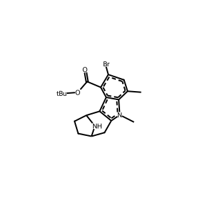 Cc1cc(Br)c(C(=O)OC(C)(C)C)c2c3c(n(C)c12)CC1CCC3N1